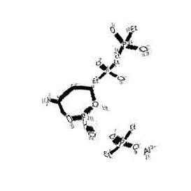 CCP(=O)([O-])CC.CCP(=O)([O-])CC.CCP(=O)([O-])CC.NC1CCO[PH](=O)O1.[Al+3]